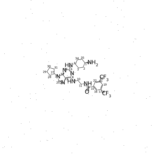 N[C@H]1CC[C@H](Nc2nc(NCCNC(=O)c3cc(C(F)(F)F)cc(C(F)(F)F)c3)c3ncn(C4CCCC4)c3n2)CC1